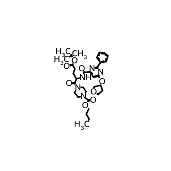 CCCCOC(=O)N1CCN(C(=O)C(CCC(=O)OC(C)(C)C)NC(=O)c2cc(OC3CCOC3)nc(-c3ccccc3)n2)CC1